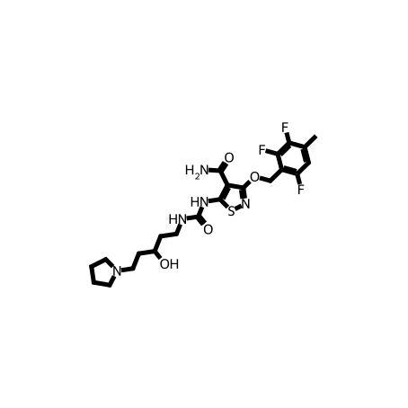 Cc1cc(F)c(COc2nsc(NC(=O)NCCC(O)CCN3CCCC3)c2C(N)=O)c(F)c1F